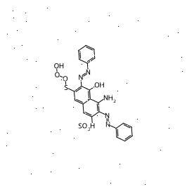 Nc1c(N=Nc2ccccc2)c(S(=O)(=O)O)cc2cc(SOOO)c(N=Nc3ccccc3)c(O)c12